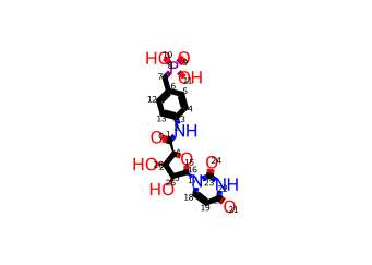 O=C(Nc1ccc(CP(=O)(O)O)cc1)[C@H]1O[C@@H](n2ccc(=O)[nH]c2=O)[C@@H](O)[C@H]1O